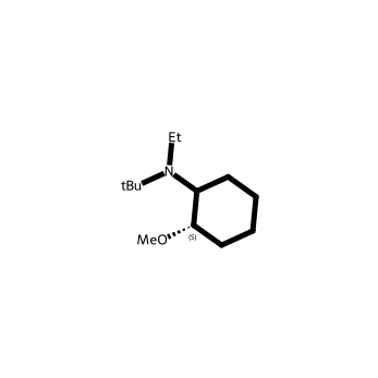 CCN(C1CCCC[C@@H]1OC)C(C)(C)C